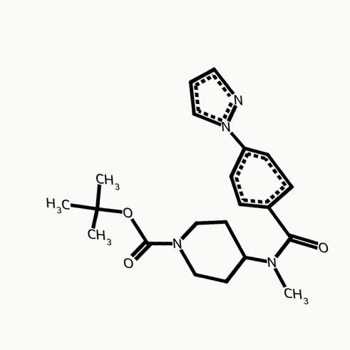 CN(C(=O)c1ccc(-n2cccn2)cc1)C1CCN(C(=O)OC(C)(C)C)CC1